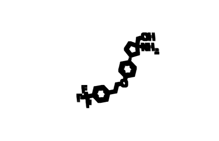 N[C@]1(CO)CC[C@@H](c2ccc(OCCc3ccc(C(F)(F)F)cc3)cc2)C1